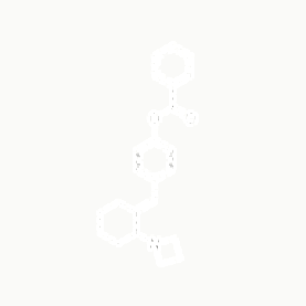 O=C(Oc1ccc(C=C2CCCCC2N2CCC2)cc1)c1ccccc1